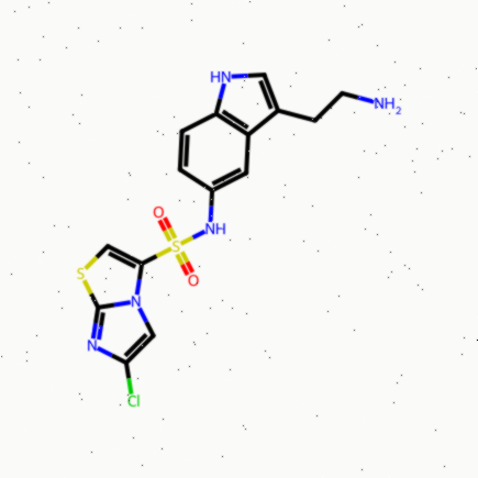 NCCc1c[nH]c2ccc(NS(=O)(=O)c3csc4nc(Cl)cn34)cc12